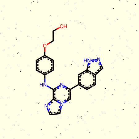 OCCOc1ccc(Nc2nc(-c3ccc4cn[nH]c4c3)cn3ccnc23)cc1